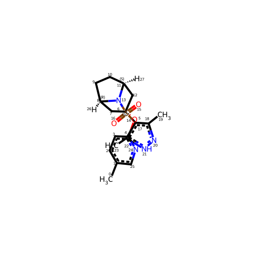 Cc1ccc(O[C@@H]2C[C@H]3CC[C@@H](C2)N3S(=O)(=O)c2c(C)n[nH]c2C)nc1